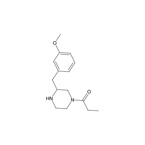 CCC(=O)N1CCNC(Cc2cccc(OC)c2)C1